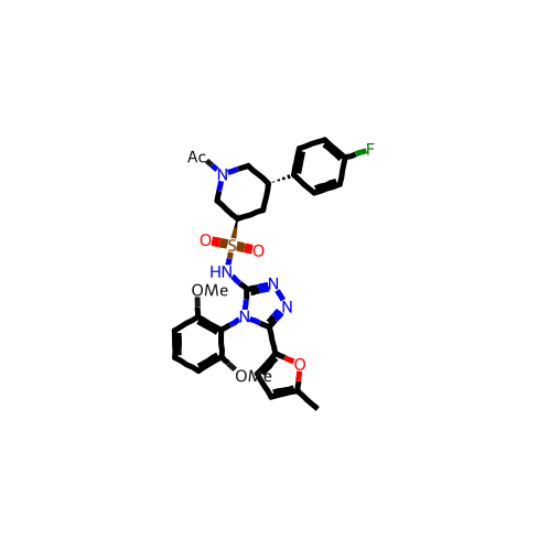 COc1cccc(OC)c1-n1c(NS(=O)(=O)[C@@H]2C[C@@H](c3ccc(F)cc3)CN(C(C)=O)C2)nnc1-c1ccc(C)o1